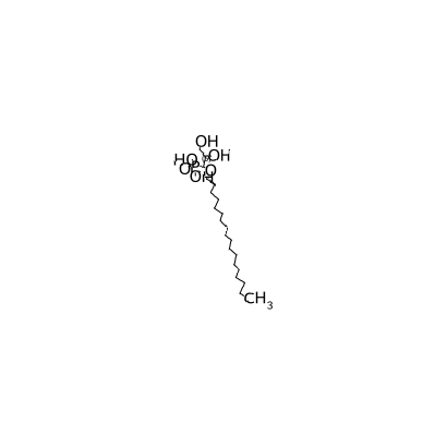 CCCCCCCCCCCCCCCCCCOC([C@@H](O)CO)P(=O)(O)O